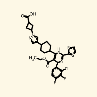 CCOC(=O)C1=C(C2CCC(c3cnn(C4CC(C(=O)O)C4)c3)CC2)NC(c2nccs2)=NC1c1ccc(F)c(F)c1Cl